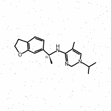 CC1=CN(C(C)C)CN=C1N[C@@H](C)c1ccc2c(c1)OCC2